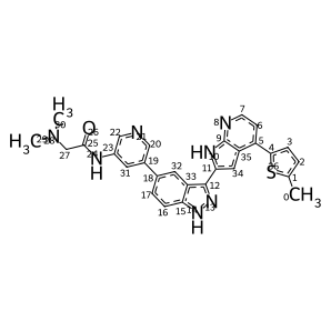 Cc1ccc(-c2ccnc3[nH]c(-c4n[nH]c5ccc(-c6cncc(NC(=O)CN(C)C)c6)cc45)cc23)s1